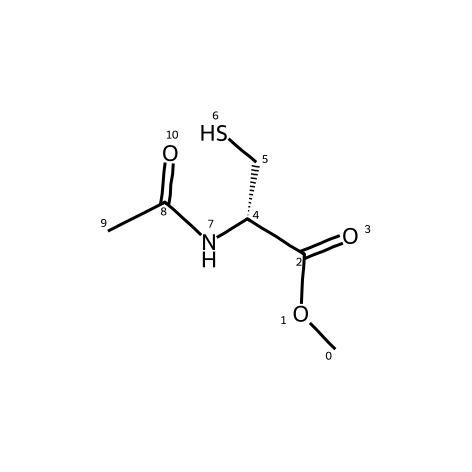 COC(=O)[C@@H](CS)NC(C)=O